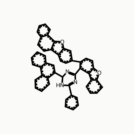 c1ccc(C2=NC(c3c(-c4ccc5c(c4)oc4c6ccccc6ccc54)ccc4oc5ccccc5c34)=NC(c3cc4ccccc4c4ccccc34)N2)cc1